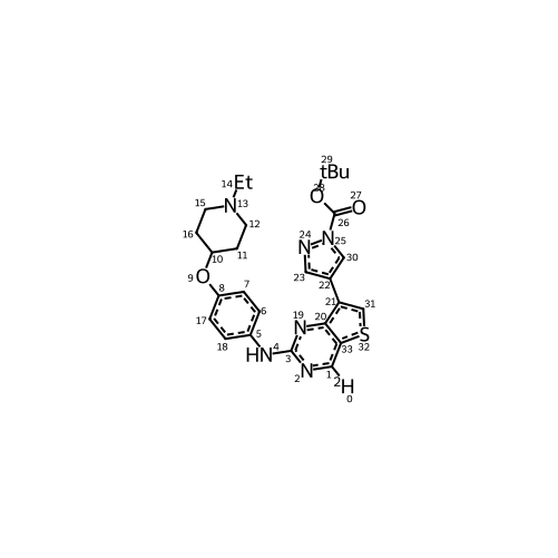 [2H]c1nc(Nc2ccc(OC3CCN(CC)CC3)cc2)nc2c(-c3cnn(C(=O)OC(C)(C)C)c3)csc12